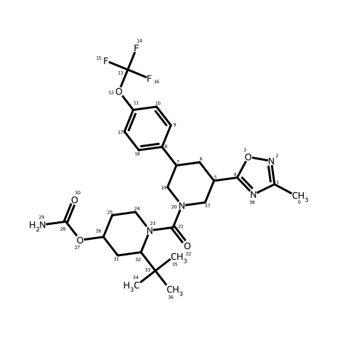 Cc1noc(C2CC(c3ccc(OC(F)(F)F)cc3)CN(C(=O)N3CCC(OC(N)=O)CC3C(C)(C)C)C2)n1